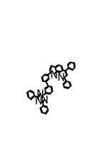 c1ccc(-c2cc(-c3ccccc3)c3ccc4ccc(-c5cccc(-c6cccc(-c7nc(-c8ccccc8)nc(-c8ccccc8)n7)c6)c5)nc4c3n2)cc1